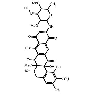 COC1/C(=N\O)C(OC)C(NC2=CC(=O)c3c(cc4c(c3O)C(=O)C3(OC)C(O)Cc5cc(C)c(C(=O)O)c(O)c5C3(O)C4=O)C2=O)OC1C